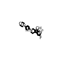 Cn1c2c(c3cc(F)cnc31)CCN(c1ccc(N3CCOCC3)cn1)C2